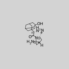 N#C[C@@H]1C[C@@H]2C[C@]2(N)N1C(=O)[C@@H](N)C12CC3CC(CC(O)(C3)C1)C2